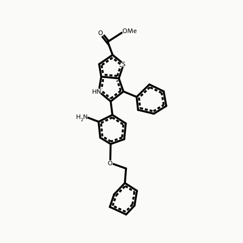 COC(=O)c1cc2[nH]c(-c3ccc(OCc4ccccc4)cc3N)c(-c3ccccc3)c2s1